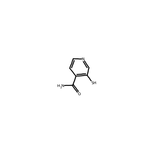 NC(=O)c1ccncc1S